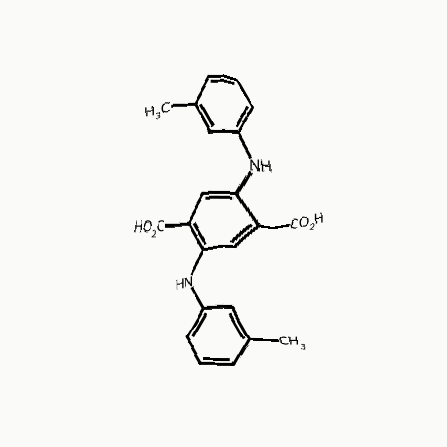 Cc1cccc(Nc2cc(C(=O)O)c(Nc3cccc(C)c3)cc2C(=O)O)c1